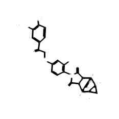 COc1ccc(C(=O)COc2ccc(N3C(=O)[C@@H]4[C@@H]5C=C[C@@H]([C@H]6C[C@@H]56)[C@@H]4C3=O)c(F)c2)cc1OC